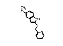 COc1ccc2[nH]c(SCc3ccccn3)cc2c1